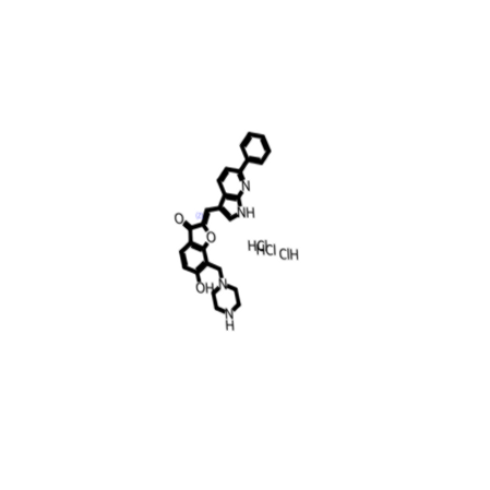 Cl.Cl.Cl.O=C1/C(=C/c2c[nH]c3nc(-c4ccccc4)ccc23)Oc2c1ccc(O)c2CN1CCNCC1